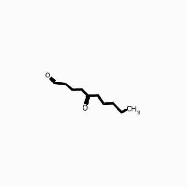 CCCCCC(=O)CCCC=O